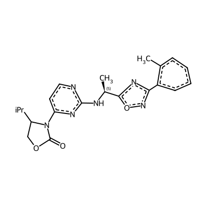 Cc1ccccc1-c1noc([C@H](C)Nc2nccc(N3C(=O)OCC3C(C)C)n2)n1